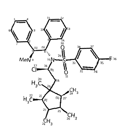 CN[C@@H](c1ccccc1)[C@H](c1ccccc1)N([C@H](Cl)CC1(C)[C@H](C)C(C)C(C)[C@@H]1C)S(=O)(=O)c1ccc(F)cc1